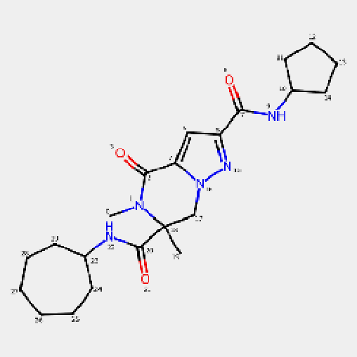 CN1C(=O)c2cc(C(=O)NC3CCCC3)nn2CC1(C)C(=O)NC1CCCCCC1